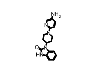 Nc1ccc(N2CCC(n3c(=O)[nH]c4ccccc43)CC2)nc1